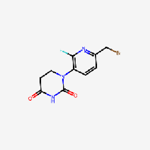 O=C1CCN(c2ccc(CBr)nc2F)C(=O)N1